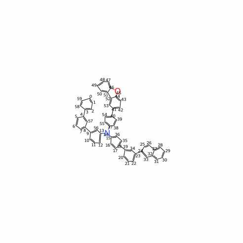 c1ccc(-c2cccc(-c3cccc(N(c4ccc(-c5cccc(-c6ccc7ccccc7c6)c5)cc4)c4ccc(-c5ccc6oc7ccccc7c6c5)cc4)c3)c2)cc1